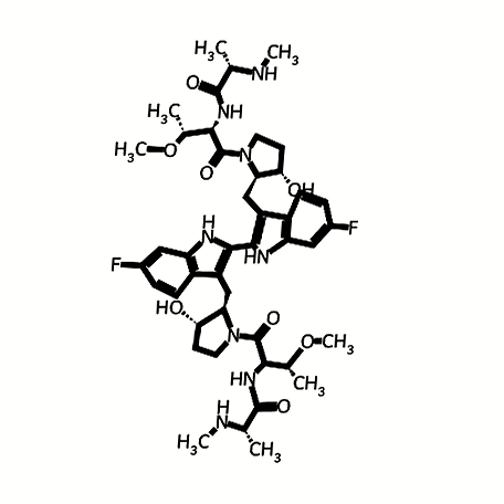 CN[C@@H](C)C(=O)NC(C(=O)N1CC[C@H](O)[C@H]1Cc1c(-c2[nH]c3cc(F)ccc3c2C[C@@H]2[C@@H](O)CCN2C(=O)[C@@H](NC(=O)[C@H](C)NC)[C@@H](C)OC)[nH]c2cc(F)ccc12)[C@@H](C)OC